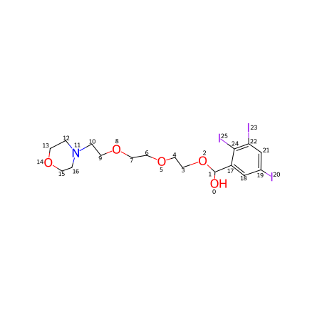 OC(OCCOCCOCCN1CCOCC1)c1cc(I)cc(I)c1I